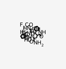 CC(C)(C)[C@H](NC(=O)C(F)(F)F)C(=O)N1C[C@H]2[C@@H]([C@H]1C(=O)N[C@@H](CC1Cc3ccccc3NC1=O)C(N)=O)[C@H]1C=C[C@@H]2C1